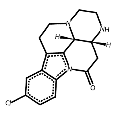 O=C1C[C@H]2NCCN3CCc4c(n1c1ccc(Cl)cc41)[C@@H]23